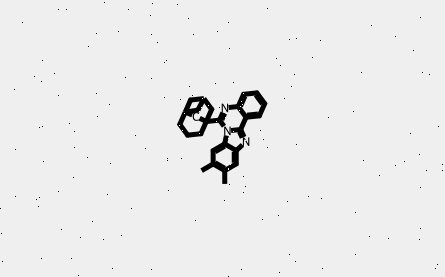 Cc1cc2nc3c4ccccc4nc(C45CCCC6(CC(C6)C4)C5)n3c2cc1C